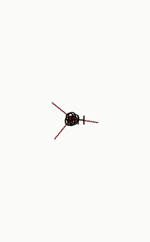 CCCCCCCCCCCCCCCCCCCCOC(=O)CC(O)(CC(=O)OCCCCCCCCCCCCCCCCCCCC)C(=O)OCCCCCCCCCCCCCCCCCCCC